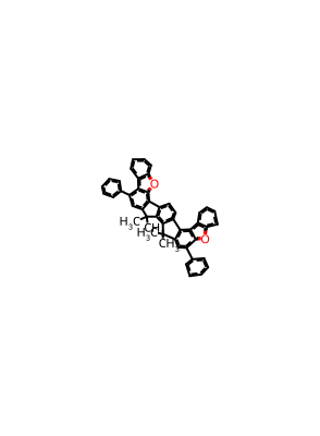 CC1(C)c2cc(-c3ccccc3)c3c(oc4ccccc43)c2-c2ccc3c(c21)C(C)(C)c1cc(-c2ccccc2)c2oc4ccccc4c2c1-3